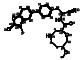 COC1CCNC[C@@H](C(=O)N[C@H](C#N)Cc2ccc(-c3ccc4oc(=O)n(C)c4c3)cc2)OC1